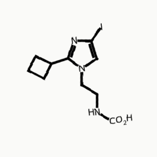 O=C(O)NCCn1cc(I)nc1C1CCC1